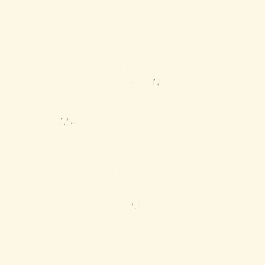 COc1cc(C(=O)N2CCCCC2)ccc1COc1ccccc1Cl